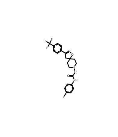 O=C(Nc1ccc(I)cc1)ON1CCC2(CC1)CC(c1ccc(C(F)(F)F)cc1)=NO2